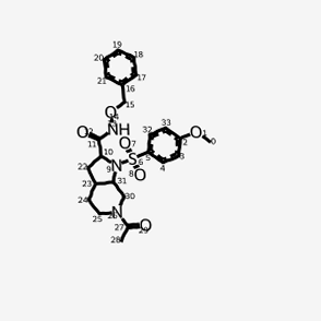 COc1ccc(S(=O)(=O)N2C(C(=O)NOCc3ccccc3)CC3CCN(C(C)=O)CC32)cc1